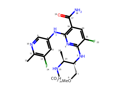 COC[C@@H](Nc1nc(Nc2cnc(C)c(F)c2)c(C(N)=O)cc1F)[C@H](C)NC(=O)O